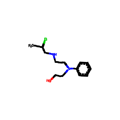 CC(Cl)CNCCN(CCO)c1ccccc1